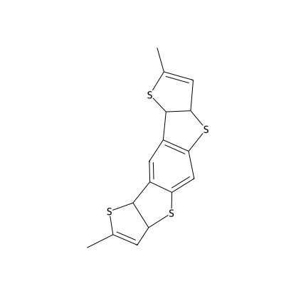 CC1=CC2Sc3cc4c(cc3C2S1)C1SC(C)=CC1S4